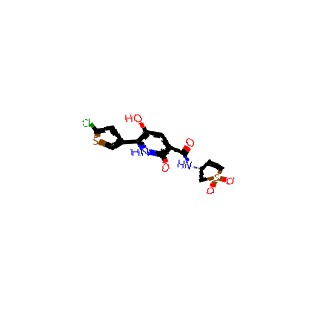 O=C(N[C@@H]1C=CS(=O)(=O)C1)c1cc(O)c(-c2csc(Cl)c2)[nH]c1=O